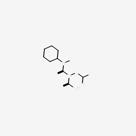 CNC(=O)N(SC(Cl)Cl)C(=O)N(F)C1CCCCC1